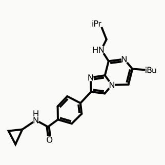 CCC(C)c1cn2cc(-c3ccc(C(=O)NC4CC4)cc3)nc2c(NCC(C)C)n1